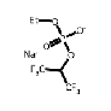 CCOP(=O)([O-])OC(C(F)(F)F)C(F)(F)F.[Na+]